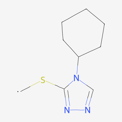 [CH2]Sc1nncn1C1CCCCC1